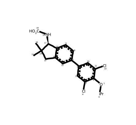 CC(C)Oc1c(Cl)cc(-c2ccc3c(c2)CC(C)(C)[C@H]3NC(=O)O)cc1Cl